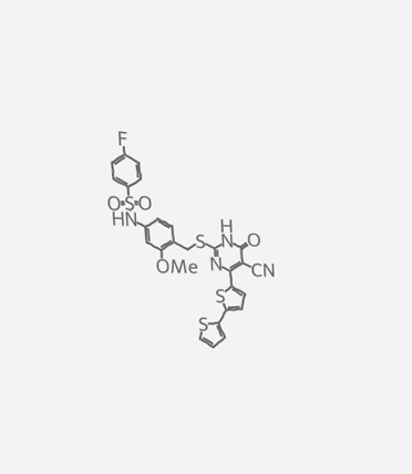 COc1cc(NS(=O)(=O)c2ccc(F)cc2)ccc1CSc1nc(-c2ccc(-c3cccs3)s2)c(C#N)c(=O)[nH]1